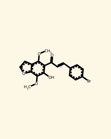 COc1c(C(=O)/C=C/c2ccc(Br)cc2)c(O)c(OC)c2occc12